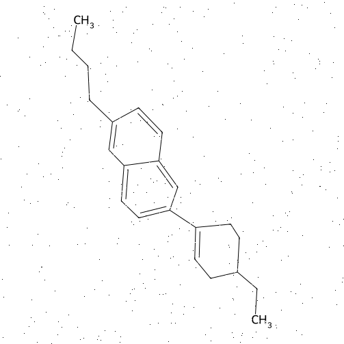 CCCCc1ccc2cc(C3=CCC(CC)CC3)ccc2c1